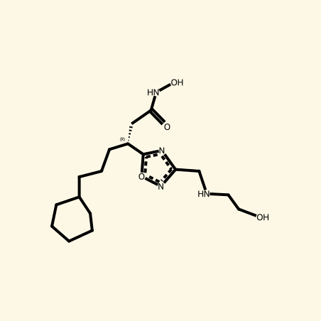 O=C(C[C@@H](CCCC1CCCCC1)c1nc(CNCCO)no1)NO